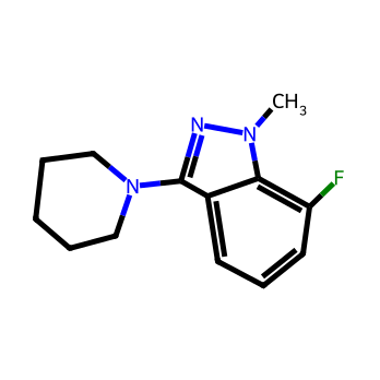 Cn1nc(N2CCCCC2)c2cccc(F)c21